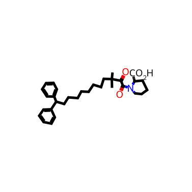 CC(C)(CCCCCCCCC(c1ccccc1)c1ccccc1)C(=O)C(=O)N1CCCCC1C(=O)O